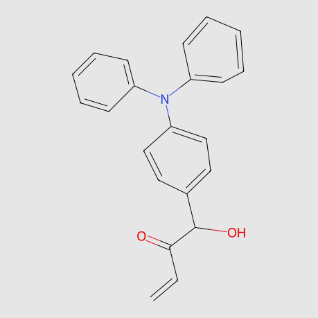 C=CC(=O)C(O)c1ccc(N(c2ccccc2)c2ccccc2)cc1